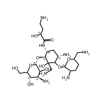 NCC[C@H](O)C(=O)N[C@@H]1C[C@H](N)C(O[C@H]2OC(CN)CCC2N)C(O)(CN)[C@H]1O[C@H]1OC(CO)[C@@H](O)[C@H](N)C1O